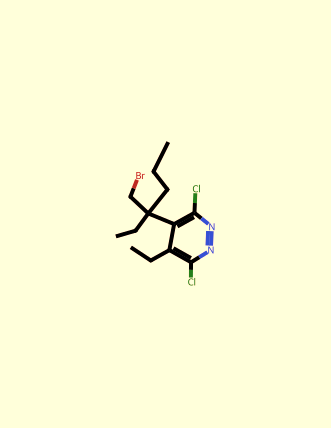 CCCC(CC)(CBr)c1c(Cl)nnc(Cl)c1CC